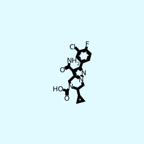 NC(=O)c1c(-c2ccc(F)c(Cl)c2)nn2c1CN(C(=O)O)C(C1CC1)C2